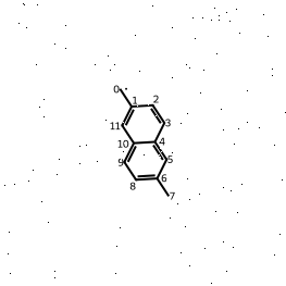 [CH2]c1ccc2cc(C)ccc2c1